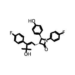 CC(C)(O)/C(=C\C[C@H]1C(=O)N(c2ccc(F)cc2)[C@@H]1c1ccc(O)cc1)c1ccc(F)cc1